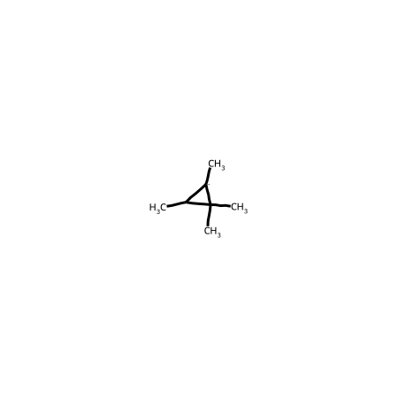 C[C]1C(C)C1(C)C